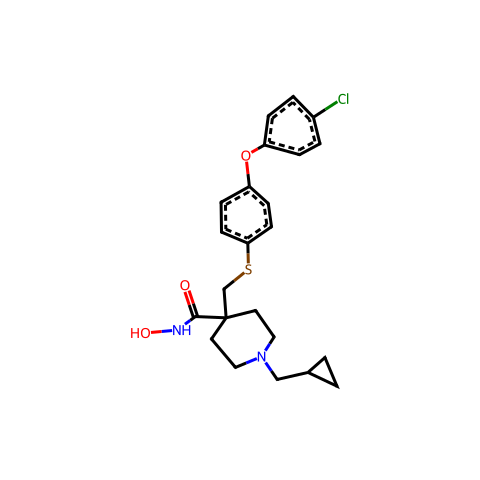 O=C(NO)C1(CSc2ccc(Oc3ccc(Cl)cc3)cc2)CCN(CC2CC2)CC1